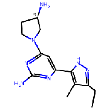 CCc1n[nH]c(-c2cc(N3CC[C@@H](N)C3)nc(N)n2)c1C